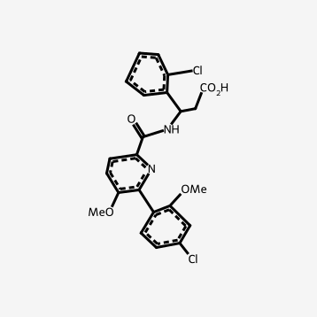 COc1cc(Cl)ccc1-c1nc(C(=O)NC(CC(=O)O)c2ccccc2Cl)ccc1OC